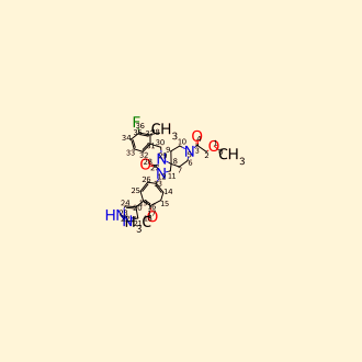 COCC(=O)N1CCC2(CC1)CN(C1=CCC(OC)=C(c3cn[nH]c3)C=C1)C(=O)N2Cc1cccc(F)c1C